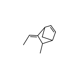 C/C=C1/C2C=CC(C2)C1C